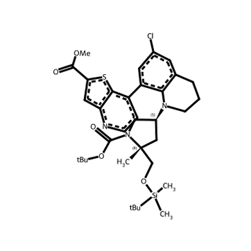 COC(=O)c1cc2nccc(-c3cc(Cl)cc4c3N([C@@H]3CN(C(=O)OC(C)(C)C)[C@@](C)(CO[Si](C)(C)C(C)(C)C)C3)CCC4)c2s1